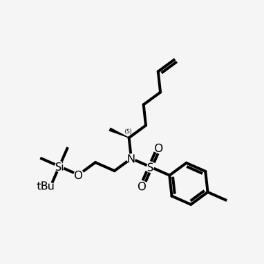 C=CCCC[C@H](C)N(CCO[Si](C)(C)C(C)(C)C)S(=O)(=O)c1ccc(C)cc1